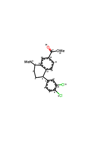 CNC1CCC(c2ccc(Cl)c(Cl)c2)c2ccc(C(=O)OC)cc21